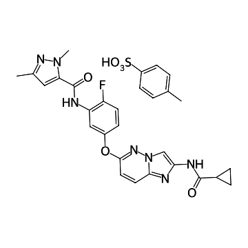 Cc1cc(C(=O)Nc2cc(Oc3ccc4nc(NC(=O)C5CC5)cn4n3)ccc2F)n(C)n1.Cc1ccc(S(=O)(=O)O)cc1